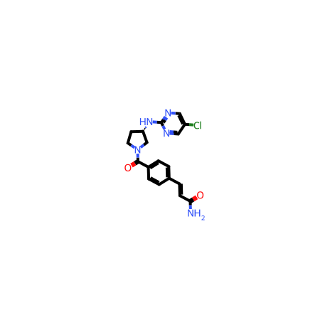 NC(=O)C=Cc1ccc(C(=O)N2CC[C@H](Nc3ncc(Cl)cn3)C2)cc1